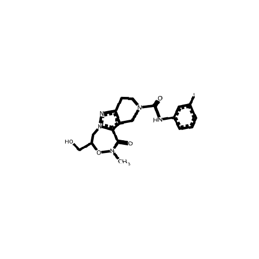 CN1OC(CO)Cn2nc3c(c2C1=O)CN(C(=O)Nc1cccc(I)c1)CC3